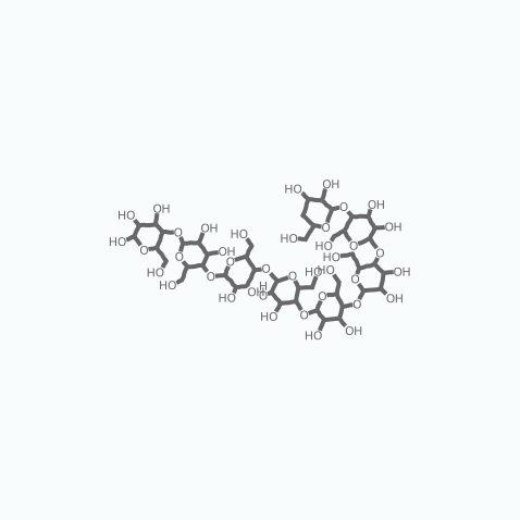 OCC1CC(O)C(O)C(OC2C(CO)OC(OC3C(CO)OC(OC4C(CO)OC(OC5C(CO)OC(OC6C(CO)OC(OC7C(CO)OC(OC8C(CO)OC(O)C(O)C8O)C(O)C7O)C(O)C6O)C(O)C5O)C(O)C4O)C(O)C3O)C(O)C2O)O1